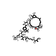 C=C(CBr)C(=O)NCCCCC(C=O)N[C@H](C(=O)N[C@@H](CCCNC(N)=O)C(=O)Nc1ccc(C(=O)N(C)[C@@H](C)C(=O)O[C@H]2CC(=O)N(C)c3cc(cc(OC)c3Cl)C/C(C)=C/C=C/[C@@H](OC)[C@@]3(O)C[C@H](OC(=O)N3)[C@@H](C)[C@@H]3O[C@@]23C)cc1C(F)(F)F)C(C)C